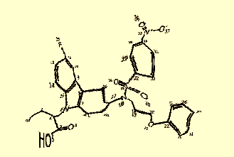 CCC(C(=O)O)n1c2c(c3cc(F)ccc31)CC(N(CCOc1ccccc1)S(=O)(=O)c1ccc([N+](=O)[O-])cc1)CC2